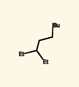 [CH2]CC(CC)CCC(C)CC